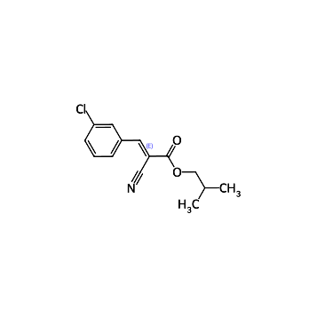 CC(C)COC(=O)/C(C#N)=C/c1cccc(Cl)c1